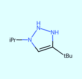 CC(C)N1C=C(C(C)(C)C)NN1